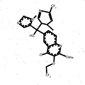 COc1nc2ccc(C(O)(c3cncn3C)C3C=NC(C(F)(F)F)=CC3C)cc2c(Cl)c1OCC(F)(F)F